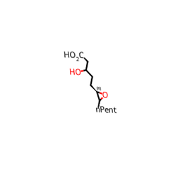 CCCCCC1O[C@@H]1CCC(O)CC(=O)O